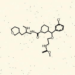 C=C(NCCOC(c1cccc(Cl)c1)C1CCCN(C(=O)NCC(CC2CCCOC2)NC)C1)OC